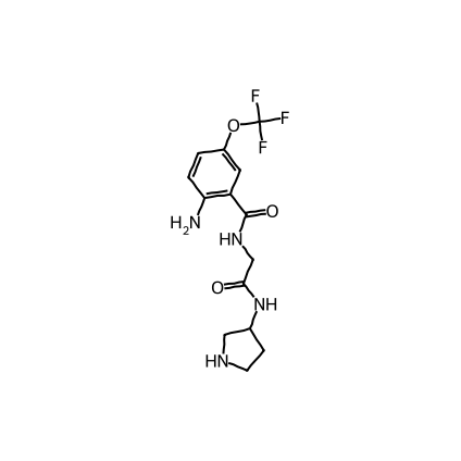 Nc1ccc(OC(F)(F)F)cc1C(=O)NCC(=O)NC1CCNC1